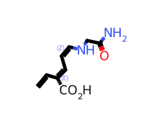 C=C/C(=C\C=C/NCC(N)=O)C(=O)O